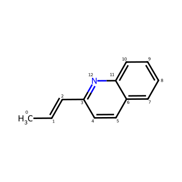 C/C=C/c1ccc2ccccc2n1